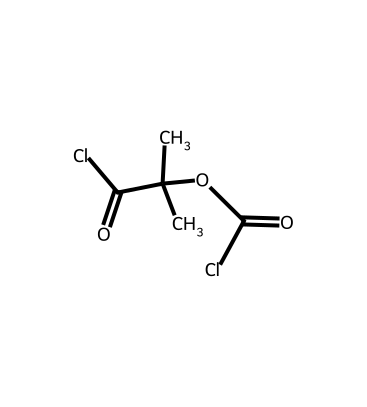 CC(C)(OC(=O)Cl)C(=O)Cl